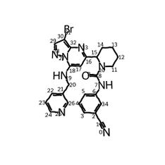 N#Cc1cccc(NC(=O)N2CCCCC2c2cc(NCc3cccnc3)n3ncc(Br)c3n2)c1